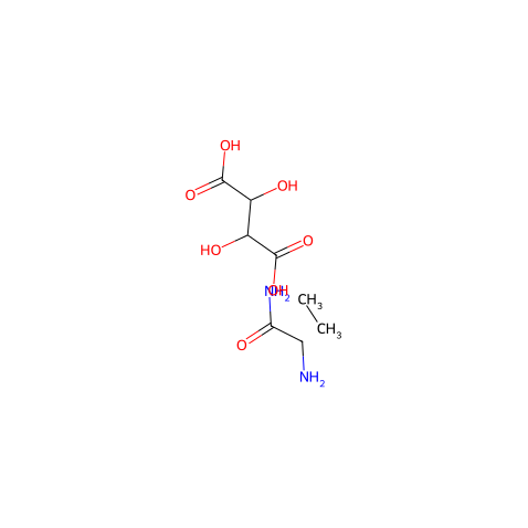 CC.NCC(N)=O.O=C(O)C(O)C(O)C(=O)O